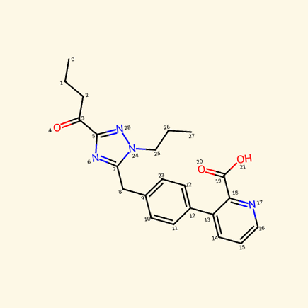 CCCC(=O)c1nc(Cc2ccc(-c3cccnc3C(=O)O)cc2)n(CCC)n1